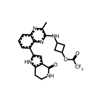 Cc1nc2cccc(-c3cc4c([nH]3)CCNC4=O)c2nc1NC1CC(OC(=O)C(F)(F)F)C1